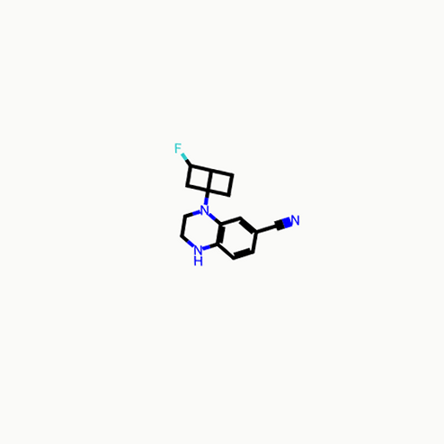 N#Cc1ccc2c(c1)N(C13CCC1C(F)C3)CCN2